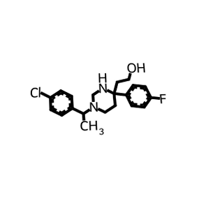 CC(c1ccc(Cl)cc1)N1CCC(CCO)(c2ccc(F)cc2)NC1